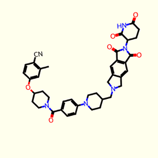 Cc1cc(OC2CCN(C(=O)c3ccc(N4CCC(CN5Cc6cc7c(cc6C5)C(=O)N(C5CCC(=O)NC5=O)C7=O)CC4)cc3)CC2)ccc1C#N